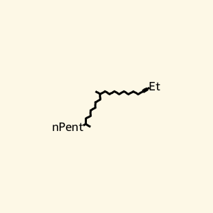 [CH2]CC#CCCCCCCCCC(C)CCCCCCC(C)CCCC[CH2]